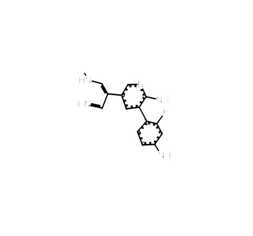 CN/C=C(\C=N)c1cnc(N)c(-c2ccc(N)cc2F)c1